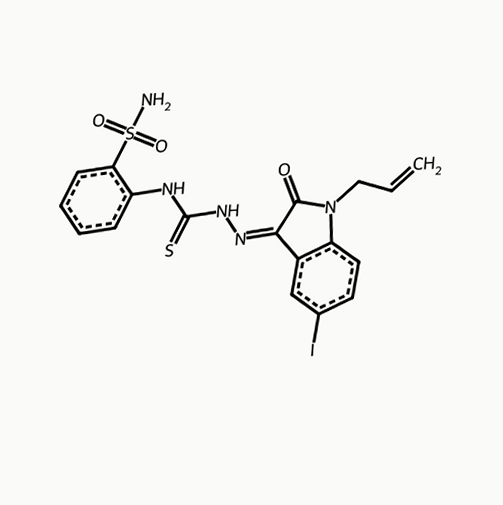 C=CCN1C(=O)C(=NNC(=S)Nc2ccccc2S(N)(=O)=O)c2cc(I)ccc21